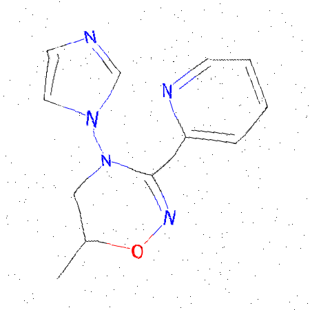 CC1CN(n2ccnc2)C(c2ccccn2)=NO1